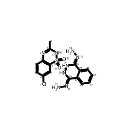 CC1=Nc2ccc(Cl)cc2S(=O)(=O)N1.NN=c1[nH][nH]c(=NN)c2ccccc12